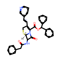 O=C(Cc1ccccc1)NC1C(=O)N2C(C(=O)OC(c3ccccc3)c3ccccc3)=C(/C=C/c3cccnc3)CS[C@H]12